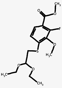 CCOC(CSc1ccc(C(=O)OC)c(F)c1OC)OCC